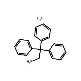 O.PCC(c1ccccc1)(c1ccccc1)c1ccccc1